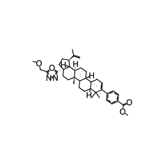 C=C(C)[C@@H]1CC[C@]2(c3nnc(COC)o3)CC[C@]3(C)[C@H](CC[C@@H]4[C@@]5(C)CC=C(c6ccc(C(=O)OC)cc6)C(C)(C)[C@@H]5CC[C@]43C)[C@@H]12